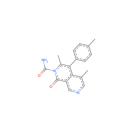 Cc1ccc(-c2c(C)n(C(N)=O)c(=O)c3cncc(C)c23)cc1